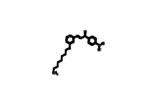 CCCCCCCCSc1cccc(/C=C/C(=O)c2ccc([N+](=O)[O-])cc2)c1